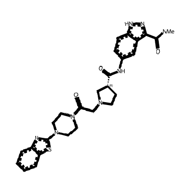 CNC(=O)c1n[nH]c2ccc(NC(=O)[C@@H]3CCN(CC(=O)N4CCN(c5nc6ccccc6s5)CC4)C3)cc12